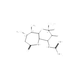 CC(=O)O[C@@H]1CC(=O)NC2C(NC(=N)N)C(F)[C@](F)(C(=O)O)OC2[C@@H]1OC(C)=O